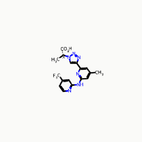 Cc1cc(Nc2cc(C(F)(F)F)ccn2)nc(-c2cn([C@H](C)C(=O)O)nn2)c1